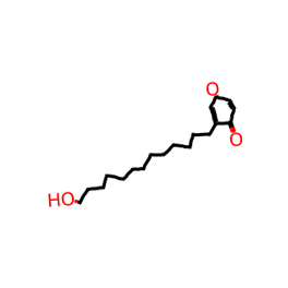 O=C1C=CC(=O)C(CCCCCCCCCCCCCO)=C1